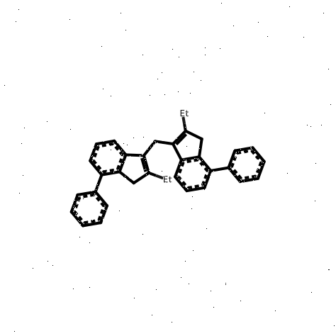 CCC1=C(CC2=C(CC)Cc3c2cccc3-c2ccccc2)c2cccc(-c3ccccc3)c2C1